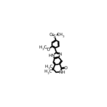 COc1cc([S+](C)[O-])ccc1-c1nc2cc3c(cc2[nH]1)C(C)(C)CNC3=O